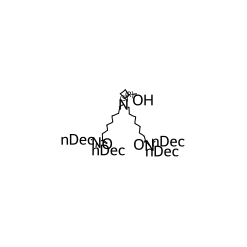 CCCCCCCCCCN(CCCCCCCCCC)C(=O)CCCCCCCN(CCCCCCCC(=O)N(CCCCCCCCCC)CCCCCCCCCC)[C@H]1CC[C@H]1CO